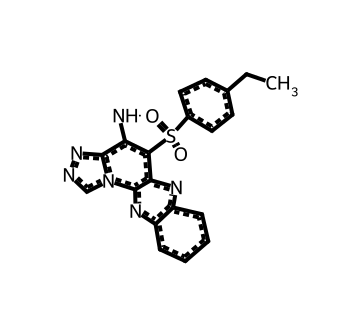 CCc1ccc(S(=O)(=O)c2c([NH])c3nncn3c3nc4ccccc4nc23)cc1